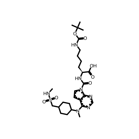 CNS(=O)(=O)CC1CCC(N(C)c2ncnc3c2ccn3C(=O)N[C@@H](CCCCNC(=O)OC(C)(C)C)C(=O)O)CC1